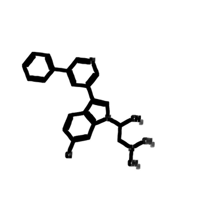 CC(CN(C)C)n1cc(-c2cncc(-c3ccccc3)c2)c2ccc(Cl)cc21